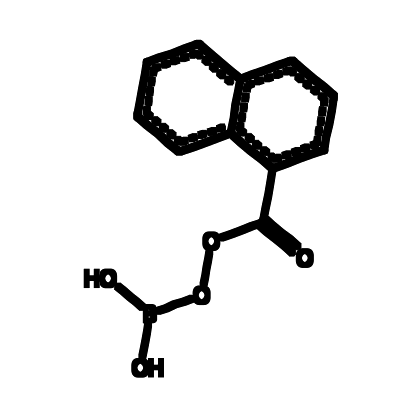 O=C(OOB(O)O)c1cccc2ccccc12